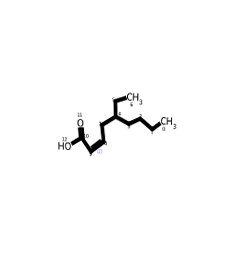 CCCCC(CC)C/C=C\C(=O)O